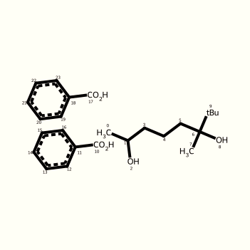 CC(O)CCCC(C)(O)C(C)(C)C.O=C(O)c1ccccc1.O=C(O)c1ccccc1